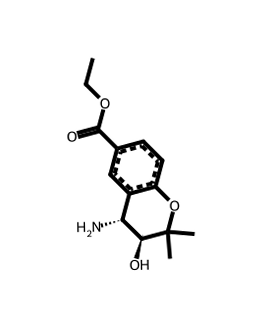 CCOC(=O)c1ccc2c(c1)[C@@H](N)[C@H](O)C(C)(C)O2